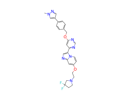 Cn1cc(-c2ccc(COc3cc(-c4cnc5cc(OCCN6CCC(F)(F)C6)ccn45)ncn3)cc2)cn1